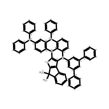 CC1(C)c2ccccc2-c2c1oc1c2N(c2cc(-c3ccccc3)cc(-c3ccccc3)c2)c2cccc3c2B1c1ccc(N(c2ccccc2)c2ccccc2)cc1N3c1ccccc1